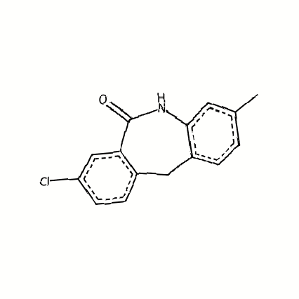 Cc1ccc2c(c1)NC(=O)c1cc(Cl)ccc1C2